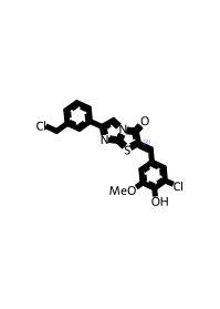 COc1cc(/C=c2\sc3nc(-c4cccc(CCl)c4)cn3c2=O)cc(Cl)c1O